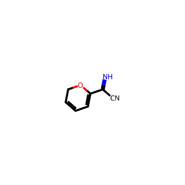 N#CC(=N)C1=CC=CCO1